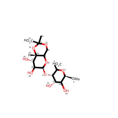 CO[C@@H]1OC(C(=O)O)[C@@H](O[C@@H]2OC3COC(C)(C(=O)O)O[C@H]3[C@@H](O)C2O)[C@@H](O)C1O